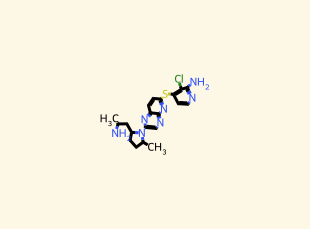 CC(N)CC1CCC(C)N1c1cnc2nc(Sc3ccnc(N)c3Cl)ccc2n1